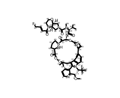 CO[C@@H](C)c1ncccc1-c1c2c3cc(ccc3n1CC(F)(F)F)-c1csc(n1)C[C@H](NC(=O)[C@H](C(C)C)N(C)C(=O)N1C[C@@H]3OCCN(C(=O)/C=C/CF)[C@@H]3C1)C(=O)N1CCC[C@@](C)(N1)C(=O)OCC(C)(C)C2